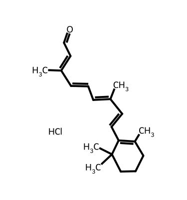 CC(C=CC=C(C)C=CC1=C(C)CCCC1(C)C)=CC=O.Cl